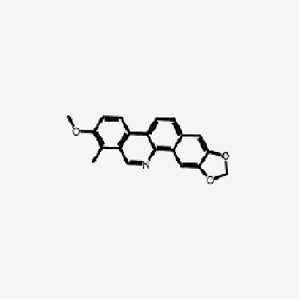 COc1ccc2c(cnc3c4cc5c(cc4ccc23)OCO5)c1C